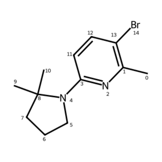 Cc1nc(N2CCCC2(C)C)ccc1Br